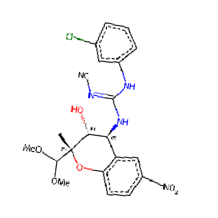 COC(OC)[C@@]1(C)Oc2ccc([N+](=O)[O-])cc2[C@H](NC(=NC#N)Nc2cccc(Cl)c2)[C@H]1O